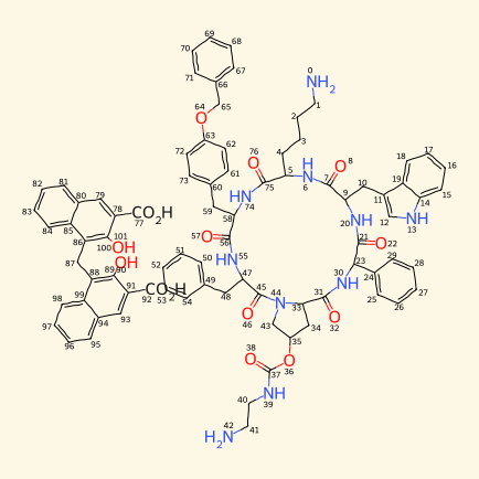 NCCCCC1NC(=O)C(Cc2c[nH]c3ccccc23)NC(=O)C(c2ccccc2)NC(=O)C2CC(OC(=O)NCCN)CN2C(=O)C(Cc2ccccc2)NC(=O)C(Cc2ccc(OCc3ccccc3)cc2)NC1=O.O=C(O)c1cc2ccccc2c(Cc2c(O)c(C(=O)O)cc3ccccc23)c1O